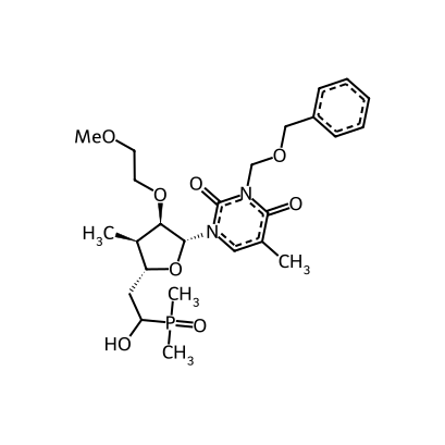 COCCO[C@@H]1[C@H](C)[C@@H](CC(O)P(C)(C)=O)O[C@H]1n1cc(C)c(=O)n(COCc2ccccc2)c1=O